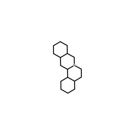 C1CCC2CN3CCC4CCCCC4C3CC2C1